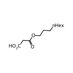 CCCCCCCCCOC(=O)CC(=O)O